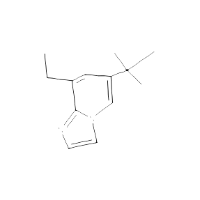 CCc1cc(C(C)(C)C)cn2ccnc12